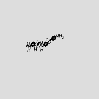 CC(=O)Nc1cccc(Nc2nc(Nc3ccc(OCC45CCC(N)(CC4)CC5)c(F)c3)ncc2F)c1